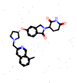 Cc1cccc2cc(CN3CC[C@H](Oc4ccc5c(c4)CN(C4CCC(=O)NC4=O)C5=O)C3)ncc12